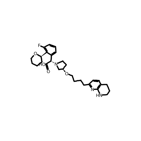 O=C(O)[C@H](c1cccc(F)c1[C@H]1CCCCO1)N1CC[C@@H](OCCCCc2ccc3c(n2)NCCC3)C1